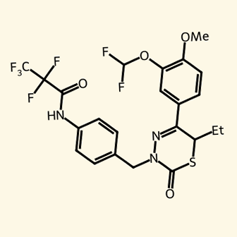 CCC1SC(=O)N(Cc2ccc(NC(=O)C(F)(F)C(F)(F)F)cc2)N=C1c1ccc(OC)c(OC(F)F)c1